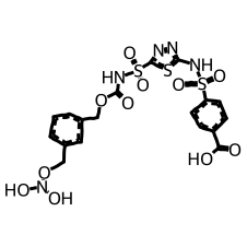 O=C(NS(=O)(=O)c1nnc(NS(=O)(=O)c2ccc(C(=O)O)cc2)s1)OCc1cccc(CON(O)O)c1